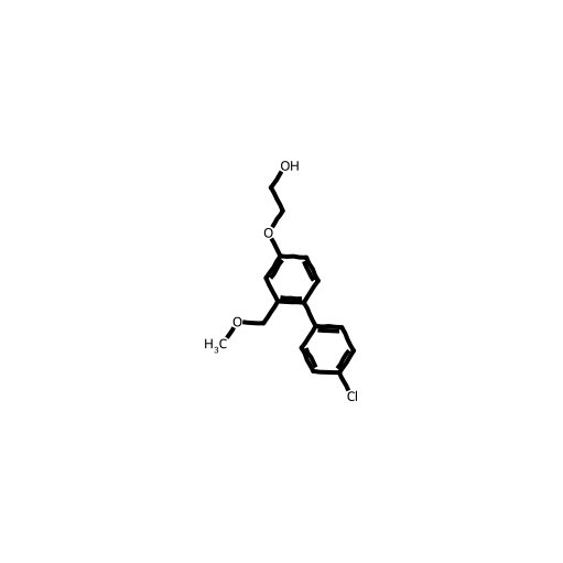 COCc1cc(OCCO)ccc1-c1ccc(Cl)cc1